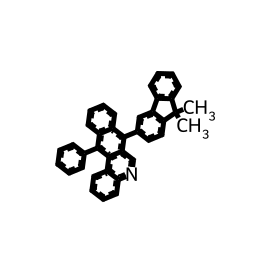 CC1(C)c2ccccc2-c2cc(-c3c4ccccc4c(-c4ccccc4)c4c3cnc3ccccc34)ccc21